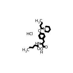 CCCCC(=O)NC(Cc1ccc(OC(CCC)N2CCCCC2)cc1)C(=O)O.Cl